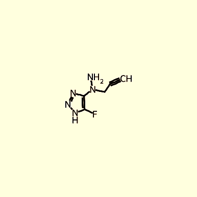 C#CCN(N)c1nn[nH]c1F